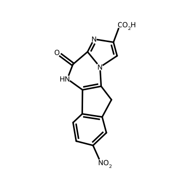 O=C(O)c1cn2c3c([nH]c(=O)c2n1)-c1ccc([N+](=O)[O-])cc1C3